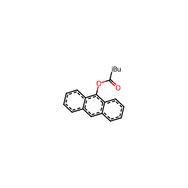 CCC(C)C(=O)Oc1c2ccccc2cc2ccccc12